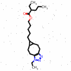 CCCC(CC)C(=O)OCCCCCC1C2CCc3nnn(CC)c3CCC12